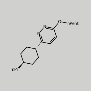 CCCCCOc1ccc([C@H]2CC[C@H](CCC)CC2)nn1